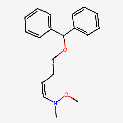 CON(C)/C=C\CCOC(c1ccccc1)c1ccccc1